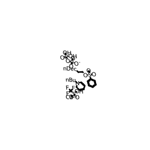 CCCCCCCCCCCCOS(=O)(=O)c1ccccc1.CCCCN1C=CC=CC1.O=P([O-])([O-])OP(=O)(O)O.O=S(=O)(O)C(F)(F)F.[Ca+2]